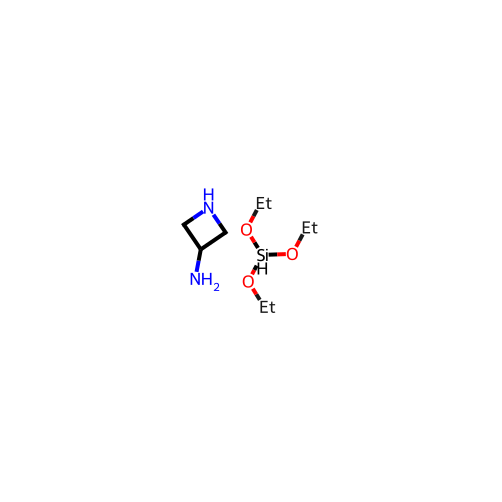 CCO[SiH](OCC)OCC.NC1CNC1